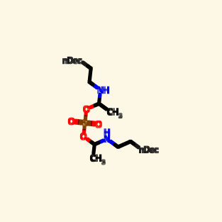 CCCCCCCCCCCCNC(C)OS(=O)(=O)OC(C)NCCCCCCCCCCCC